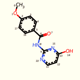 COc1ccc(C(=O)Nc2nccc(O)n2)cc1